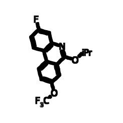 CC(C)Oc1nc2cc(F)ccc2c2ccc(OC(F)(F)F)cc12